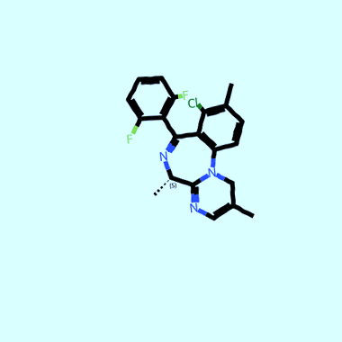 CC1=CN=C2[C@H](C)N=C(c3c(F)cccc3F)c3c(ccc(C)c3Cl)N2C1